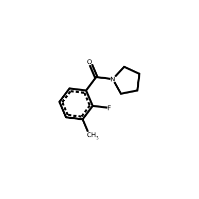 Cc1cccc(C(=O)N2CCCC2)c1F